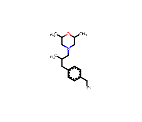 CC(C)Cc1ccc(CC(C)CN2CC(C)OC(C)C2)cc1